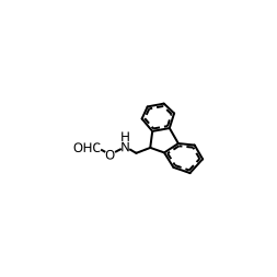 O=CONCC1c2ccccc2-c2ccccc21